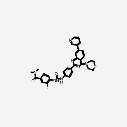 CN(C)C(=O)c1ccc(NC(=O)Nc2ccc(-c3nc(N4CCOCC4)c4ccc(-c5cccnc5)cc4n3)cc2)c(F)c1